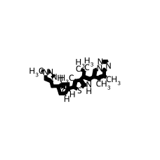 Cc1c(-c2[nH]c3sc([C@H]4C[C@@H]5CC[C@H]4CN5Cc4cn(C)nn4)c(C)c3c2C(C)C)cn2ncnc2c1C